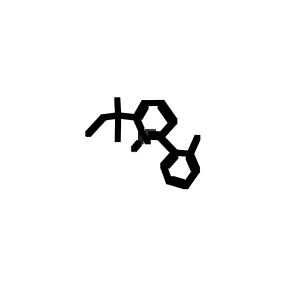 CCC(C)(C)c1cccc(-c2ccccc2C)[n+]1C